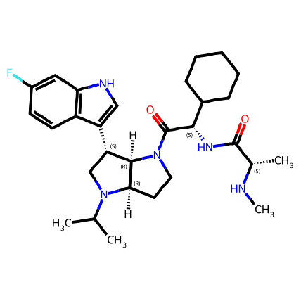 CN[C@@H](C)C(=O)N[C@H](C(=O)N1CC[C@@H]2[C@H]1[C@@H](c1c[nH]c3cc(F)ccc13)CN2C(C)C)C1CCCCC1